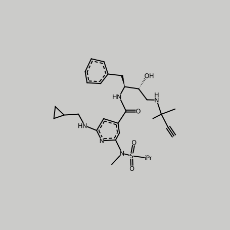 C#CC(C)(C)NC[C@@H](O)[C@H](Cc1ccccc1)NC(=O)c1cc(NCC2CC2)nc(N(C)S(=O)(=O)C(C)C)c1